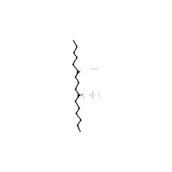 CCCCCC[C@H](O)CCC[C@H](O)CCCCC